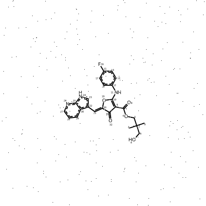 CC(C)(CO)COC(=O)C1=C(Nc2ccc(F)cc2)OC(=Cc2c[nH]c3ncccc23)C1=O